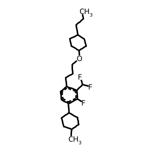 CCCC1CCC(OCCCc2ccc(C3CCC(C)CC3)c(F)c2C(F)F)CC1